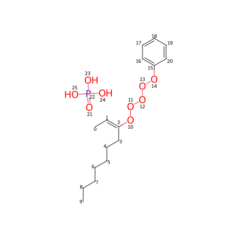 CC=C(CCCCCCC)OOOOOc1ccccc1.O=P(O)(O)O